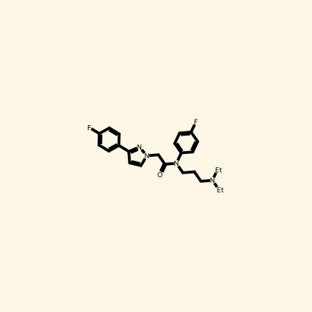 CCN(CC)CCCN(C(=O)Cn1ccc(-c2ccc(F)cc2)n1)c1ccc(F)cc1